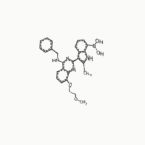 COCCOc1cccc2c(NCc3ccccc3)nc(-c3c(C)[nH]c4c(B(O)O)cccc34)nc12